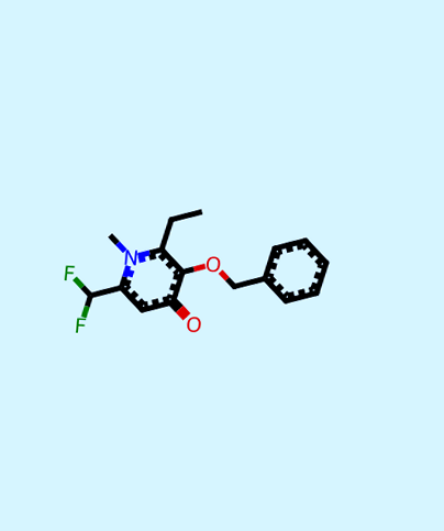 CCc1c(OCc2ccccc2)c(=O)cc(C(F)F)n1C